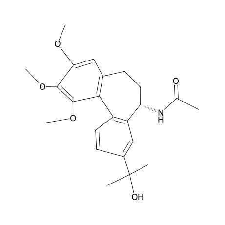 COc1cc2c(c(OC)c1OC)-c1ccc(C(C)(C)O)cc1[C@@H](NC(C)=O)CC2